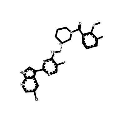 COc1c(C)cccc1C(=O)N1CCC[C@@H](CNc2nc(-c3c[nH]c4ncc(Cl)cc34)ncc2F)C1